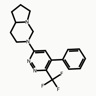 FC(F)(F)c1nnc(N2CCC3CCCN3C2)cc1-c1ccccc1